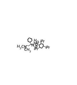 CC(C)c1cc(C(C)C)c(S(=O)(=O)NN=C(CCN(C)C)c2ccccc2)c(C(C)C)c1